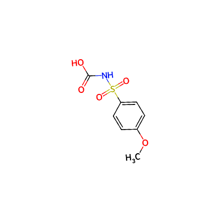 COc1ccc(S(=O)(=O)NC(=O)O)cc1